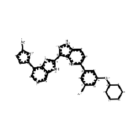 CC(=O)c1ccc(-c2cncc3[nH]c(-c4n[nH]c5ccc(-c6cc(I)cc(OC7CCCCC7)c6)nc45)nc23)s1